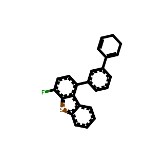 Fc1ccc(-c2cccc(C3=CCCC=C3)c2)c2c1sc1ccccc12